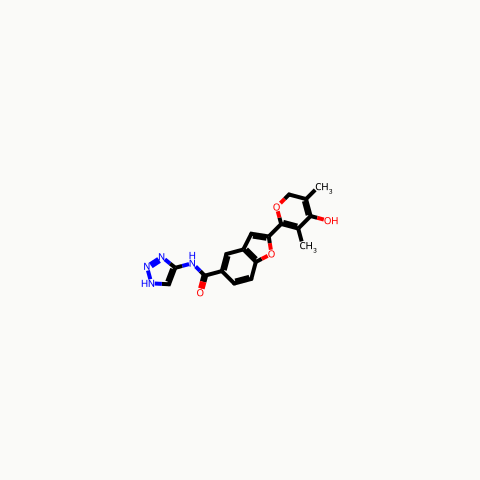 CC1=C(O)C(C)=C(c2cc3cc(C(=O)Nc4c[nH]nn4)ccc3o2)OC1